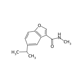 CNC(=O)c1coc2ccc(C(C)C)cc12